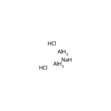 Cl.Cl.[AlH3].[AlH3].[NaH]